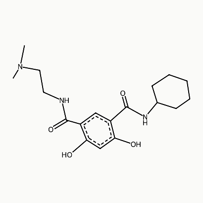 CN(C)CCNC(=O)c1cc(C(=O)NC2CCCCC2)c(O)cc1O